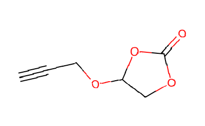 C#CCOC1COC(=O)O1